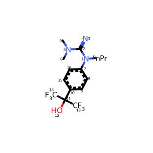 CCCN(C(=[N])N(C)C)c1ccc(C(O)(C(F)(F)F)C(F)(F)F)cc1